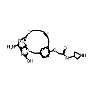 Nc1nc2nc3c1nc(O)n3Cc1ccc(OCC(=O)NC3CNC3)c(c1)C/C=C\CCO2